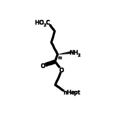 CCCCCCCCOC(=O)[C@@H](N)CCC(=O)O